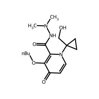 CCCCOc1c(C(=O)NN(C)C)n(C2(CO)CC2)ccc1=O